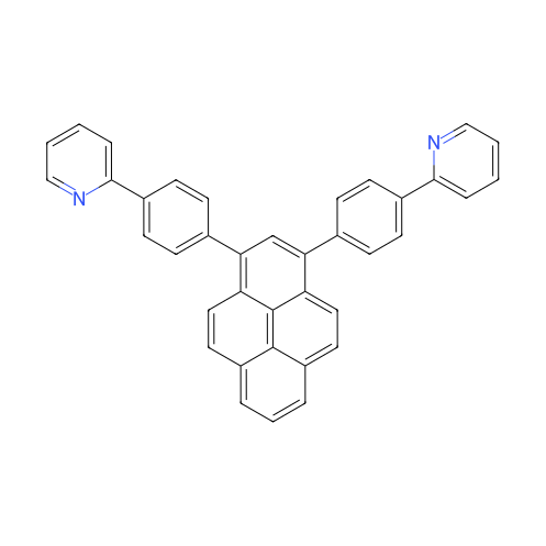 c1ccc(-c2ccc(-c3cc(-c4ccc(-c5ccccn5)cc4)c4ccc5cccc6ccc3c4c65)cc2)nc1